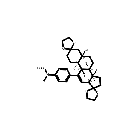 CN(C(=O)O)c1ccc(C2=C[C@@]3(C)[C@@H](CCC34OCCO4)[C@@H]3CC[C@@]4(O)CC5(CC[C@]4(C)[C@@H]23)OCCO5)cc1